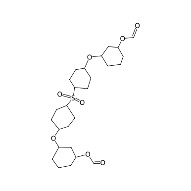 O=COC1CCCC(OC2CCC(S(=O)(=O)C3CCC(OC4CCCC(OC=O)C4)CC3)CC2)C1